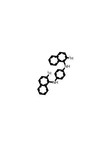 [2H]c1ccc2ccccc2c1Nc1ccc(Nc2c([2H])ccc3ccccc23)cc1